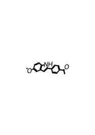 COc1ccc2[nH]c(-c3ccc(C(C)=O)cc3)cc2c1